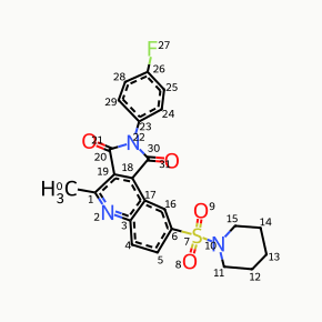 Cc1nc2ccc(S(=O)(=O)N3CCCCC3)cc2c2c1C(=O)N(c1ccc(F)cc1)C2=O